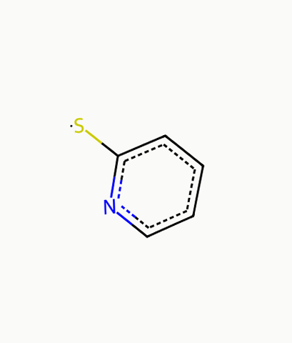 [S]c1ccccn1